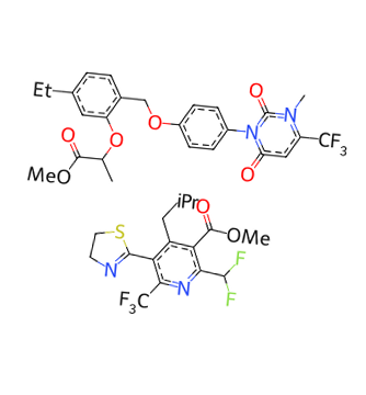 CCc1ccc(COc2ccc(-n3c(=O)cc(C(F)(F)F)n(C)c3=O)cc2)c(OC(C)C(=O)OC)c1.COC(=O)c1c(C(F)F)nc(C(F)(F)F)c(C2=NCCS2)c1CC(C)C